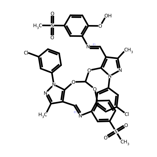 Cc1nn(-c2cccc(Cl)c2)c(OC2Oc3ccc(S(C)(=O)=O)cc3/N=C/c3c(C)nn(-c4cccc(Cl)c4)c3O2)c1/C=N/c1cc(S(C)(=O)=O)ccc1OO